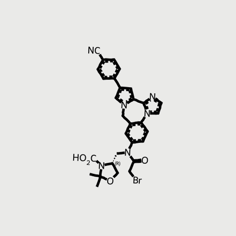 CC1(C)OC[C@@H](CN(C(=O)CBr)c2ccc3c(c2)Cn2cc(-c4ccc(C#N)cc4)cc2-c2nccn2-3)N1C(=O)O